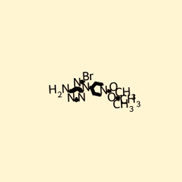 CC(C)(C)OC(=O)N1CCC(n2c(Br)nc3c(N)ncnc32)CC1